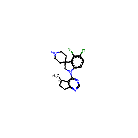 C[C@@H]1CCc2ncnc(N3CC4(CCNCC4)c4c3ccc(Cl)c4Br)c21